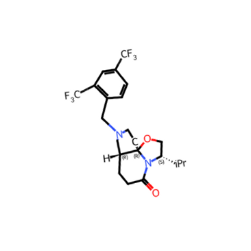 CC(C)[C@H]1CO[C@]23CCN(Cc4ccc(C(F)(F)F)cc4C(F)(F)F)C[C@H]2CCC(=O)N13